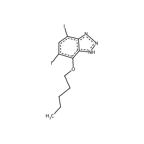 CCCCCOc1c(I)cc(I)c2nn[nH]c12